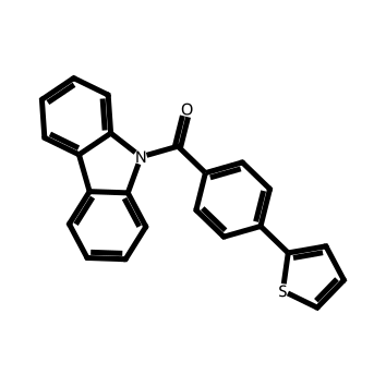 O=C(c1ccc(-c2cccs2)cc1)n1c2ccccc2c2ccccc21